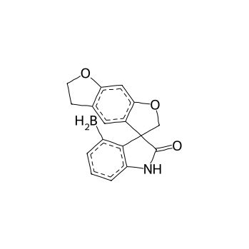 Bc1cccc2c1C1(COc3cc4c(cc31)CCO4)C(=O)N2